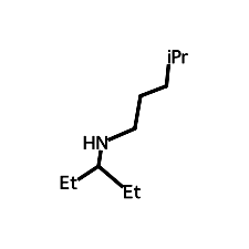 CCC(CC)NCCCC(C)C